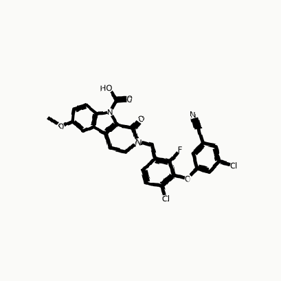 COc1ccc2c(c1)c1c(n2C(=O)O)C(=O)N(Cc2ccc(Cl)c(Oc3cc(Cl)cc(C#N)c3)c2F)CC1